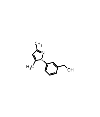 Cc1cc(C)n(-c2cccc(CO)c2)n1